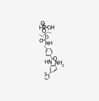 CCC(CC)(OC(=O)NCc1ccc(C(=O)Nc2cc(-c3cccs3)ccc2N)cc1)O[PH](=O)O